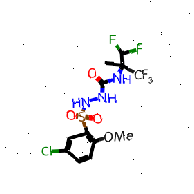 COc1ccc(Cl)cc1S(=O)(=O)NNC(=O)NC(C)(C(F)F)C(F)(F)F